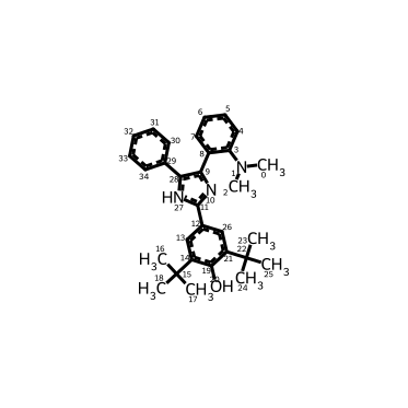 CN(C)c1ccccc1-c1nc(-c2cc(C(C)(C)C)c(O)c(C(C)(C)C)c2)[nH]c1-c1ccccc1